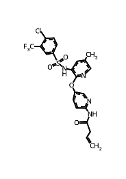 C=CCC(=O)Nc1ccc(Oc2ncc(C)cc2NS(=O)(=O)c2ccc(Cl)c(C(F)(F)F)c2)cn1